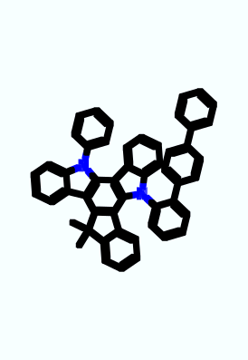 CC1(C)c2ccccc2-c2c1c1c3ccccc3n(-c3ccccc3)c1c1c3ccccc3n(-c3ccccc3-c3ccc(-c4ccccc4)cc3)c21